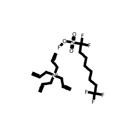 C=CC[N+](CC=C)(CC=C)CC=C.O=S(=O)(OF)C(F)(F)CCCCCCC(F)(F)F